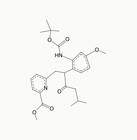 COC(=O)c1cccc(CC(C(=O)CC(C)C)c2ccc(OC)cc2NC(=O)OC(C)(C)C)n1